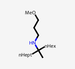 CCCCCCCC(C)(CCCCCC)NCCCOC